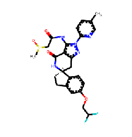 Cc1ccc(-n2nc3c(c2NC(=O)C[S+](C)[O-])C(=O)N[C@@]2(CCc4cc(OCC(F)F)ccc42)C3)nc1